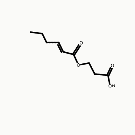 CCCC=CC(=O)OCCC(=O)O